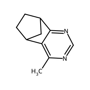 Cc1ncnc2c1C1CCC2C1